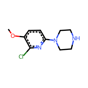 COc1ccc(N2CCNCC2)nc1Cl